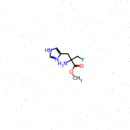 COC(=O)C(N)(CF)Cc1c[nH]cn1